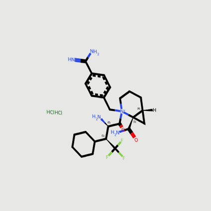 Cl.Cl.N=C(N)c1ccc(C[N+]2(C(=O)[C@H](N)[C@H](C3CCCCC3)C(F)(F)F)CCC[C@@H]3C[C@@]32C(N)=O)cc1